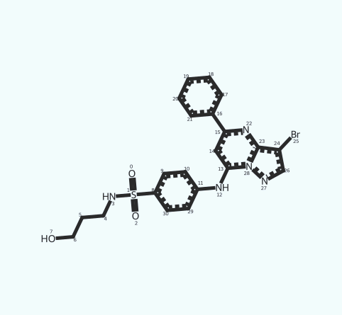 O=S(=O)(NCCCO)c1ccc(Nc2cc(-c3ccccc3)nc3c(Br)cnn23)cc1